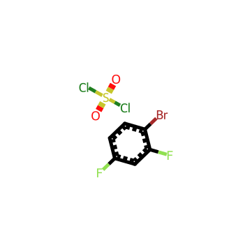 Fc1ccc(Br)c(F)c1.O=S(=O)(Cl)Cl